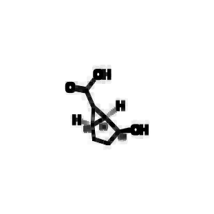 O=C(O)C1[C@H]2[C@@H](O)CC[C@@H]12